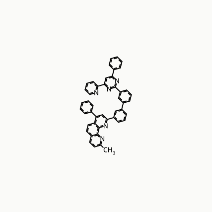 Cc1ccc2ccc3c(-c4ccccc4)cc(-c4cccc(-c5cccc(-c6nc(-c7ccccc7)cc(-c7ccccn7)n6)c5)c4)nc3c2n1